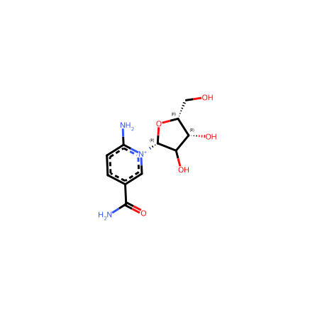 NC(=O)c1ccc(N)[n+]([C@@H]2O[C@H](CO)[C@H](O)C2O)c1